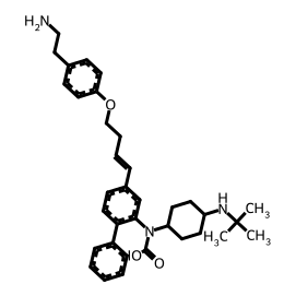 CC(C)(C)NC1CCC(N(C(=O)O)c2cc(/C=C/CCOc3ccc(CCN)cc3)ccc2-c2ccccc2)CC1